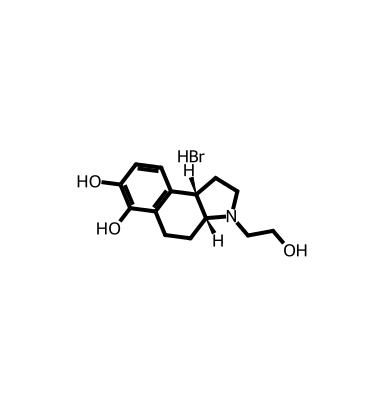 Br.OCCN1CC[C@H]2c3ccc(O)c(O)c3CC[C@H]21